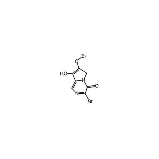 CCOC1=C(O)c2cnc(Br)c(=O)n2C1